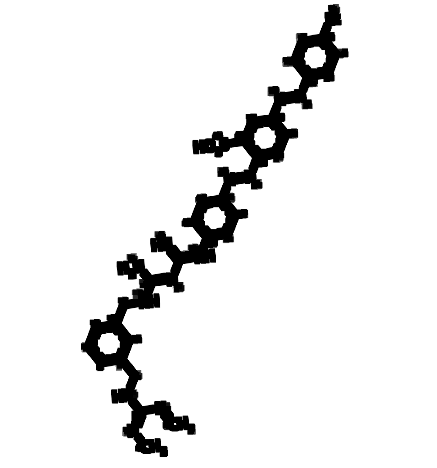 C=N/C(=N\C)NCc1cccc(CN/C(N)=N/C(=N)Nc2ccc(N=Nc3ccc(N=Nc4ccc(CC)cc4)cc3S(=O)(=O)O)cc2)c1